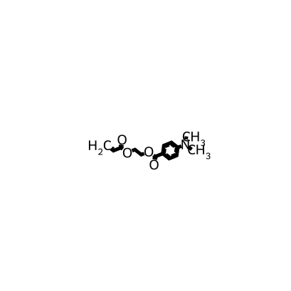 C=CC(=O)OCCOC(=O)c1ccc(N(C)C)cc1